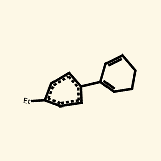 CCc1ccc(C2=CCCC=C2)cc1